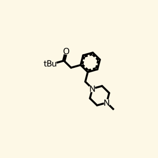 CN1CCN(Cc2ccccc2CC(=O)C(C)(C)C)CC1